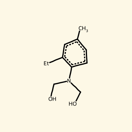 CCc1cc(C)ccc1N(CO)CO